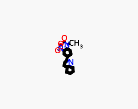 CN(C=O)c1ccc(-c2ccc3ccccc3n2)cc1[N+](=O)[O-]